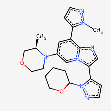 C[C@@H]1COCCN1c1cc(-c2ccnn2C)c2ncc(-c3ccnn3C3CCCCO3)n2c1